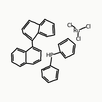 [Cl][Ru]([Cl])[Cl].c1ccc(Pc2ccccc2)cc1.c1ccc2c(-c3cccc4ccccc34)cccc2c1